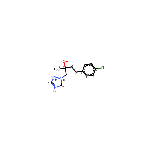 CC(C)(C)C(O)(CCc1ccc(Cl)cc1)CN1CN=CN1